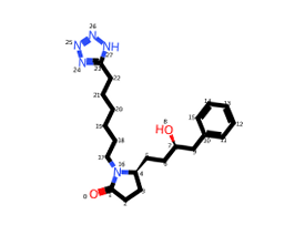 O=C1CC[C@H](CC[C@@H](O)Cc2ccccc2)N1CCCCCCc1nnn[nH]1